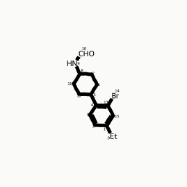 CCc1ccc(C2CCC(NC=O)CC2)c(Br)c1